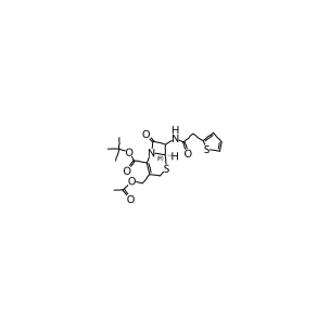 CC(=O)OCC1=C(C(=O)OC(C)(C)C)N2C(=O)C(NC(=O)Cc3cccs3)[C@H]2SC1